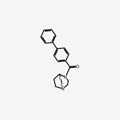 O=C(c1ccc(-c2ccccc2)cc1)N1CCN2CCC1CC2